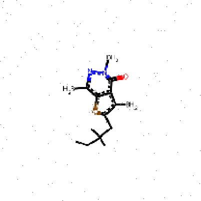 Bc1nn(B)c(=O)c2c(B)c(CC(C)(C)CC)sc12